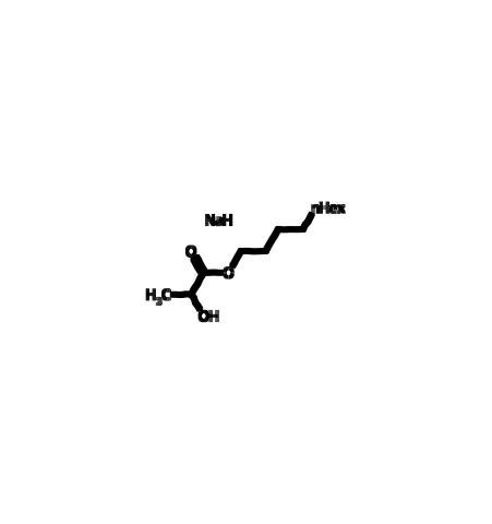 CCCCCCCCCCOC(=O)C(C)O.[NaH]